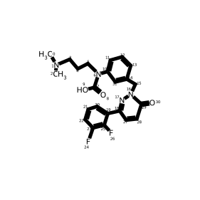 CN(C)CCCN(C(=O)O)c1cccc(Cn2nc(-c3cccc(F)c3F)ccc2=O)c1